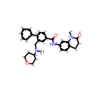 CCN(Cc1cc(C(=O)Nc2ccc3c(c2)N(C)C(=O)CC3)ccc1-c1ccccc1)C1CCOCC1